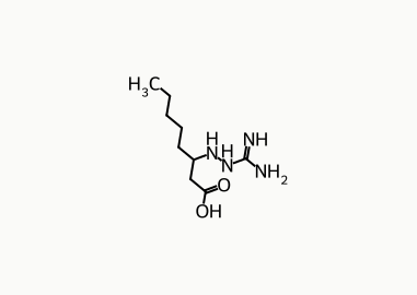 CCCCCC(CC(=O)O)NNC(=N)N